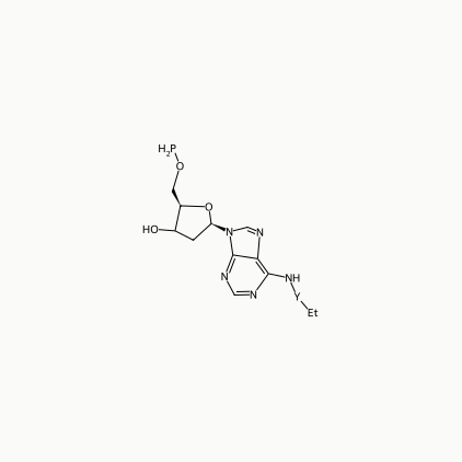 C[CH2][Y][NH]c1ncnc2c1ncn2[C@H]1CC(O)[C@@H](COP)O1